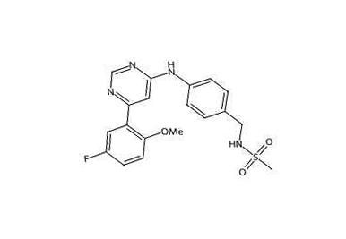 COc1ccc(F)cc1-c1cc(Nc2ccc(CNS(C)(=O)=O)cc2)ncn1